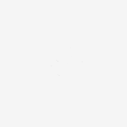 Cn1cc(C2=CCOO2)nc1C=O